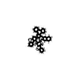 c1ccc2cc3c(cc2c1)c1c2c4ccccc4c4ccccc4c2ccc1n3-c1nc2c(nc1-c1cccc3oc4ccccc4c13)sc1ccccc12